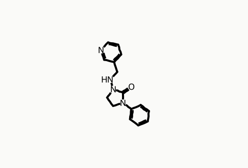 O=C1N(NCc2cccnc2)CCN1c1ccccc1